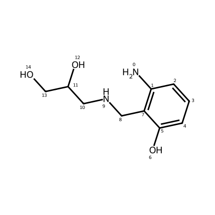 Nc1cccc(O)c1CNCC(O)CO